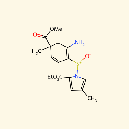 CCOC(=O)c1cc(C)cn1[S+]([O-])C1=C(N)CC(C)(C(=O)OC)C=C1